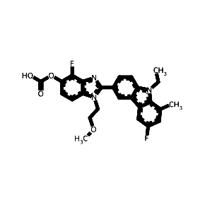 CCn1c2ccc(-c3nc4c(F)c(OC(=O)O)ccc4n3CCOC)cc2c2cc(F)cc(C)c21